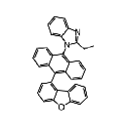 CCc1nc2ccccc2n1-c1c2ccccc2c(-c2cccc3oc4ccccc4c23)c2ccccc12